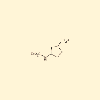 CCOC(=O)NC1CCN(C(=O)O)C1